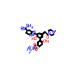 CN1CCN(C(=O)Cc2cc(-c3nc4cc(C(=N)N)ccc4[nH]3)c(O)c(-c3cc(S(N)(=O)=O)ccc3O)c2)CC1